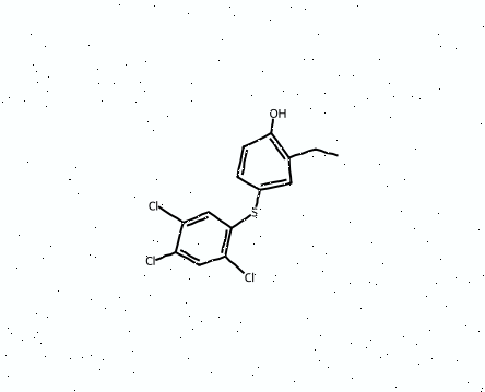 CCc1cc(Sc2cc(Cl)c(Cl)cc2Cl)ccc1O